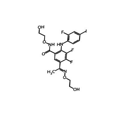 CC(=NOCCO)c1cc(C(=O)NOCCO)c(Nc2ccc(I)cc2F)c(F)c1F